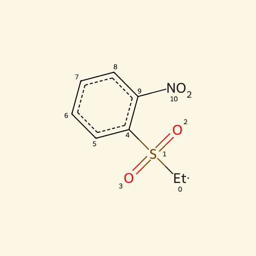 C[CH]S(=O)(=O)c1ccccc1[N+](=O)[O-]